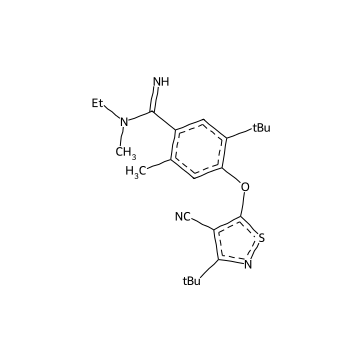 CCN(C)C(=N)c1cc(C(C)(C)C)c(Oc2snc(C(C)(C)C)c2C#N)cc1C